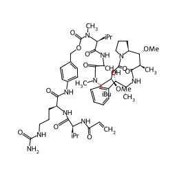 C=CC(=O)N[C@H](C(=O)N[C@@H](CCCNC(N)=O)C(=O)Nc1ccc(COC(=O)N(C)[C@H](C(=O)N[C@@H](C)C(=O)N(C)[C@@H]([C@@H](C)CC)[C@@H](CC(=O)N2CCC[C@H]2[C@H](OC)[C@@H](C)C(=O)N[C@H](C)[C@@H](O)c2ccccc2)OC)C(C)C)cc1)C(C)C